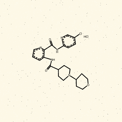 Cl.O=C(Nc1ccc(Cl)cn1)c1ncccc1NC(=O)C1CCN(C2CCOCC2)CC1